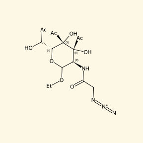 CCOC1O[C@H](C(O)C(C)=O)[C@@](O)(C(C)=O)[C@@](O)(C(C)=O)[C@H]1NC(=O)CN=[N+]=[N-]